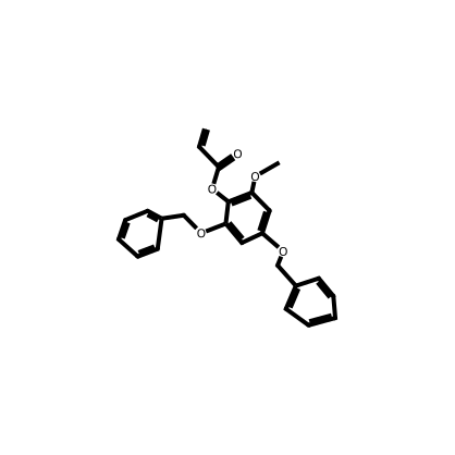 C=CC(=O)Oc1c(OC)cc(OCc2ccccc2)cc1OCc1ccccc1